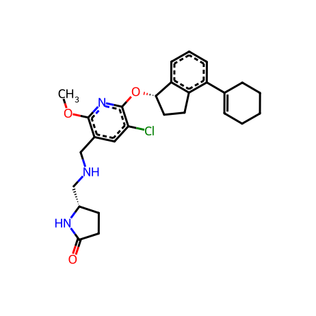 COc1nc(O[C@H]2CCc3c(C4=CCCCC4)cccc32)c(Cl)cc1CNC[C@@H]1CCC(=O)N1